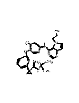 CC(C)(C)NC(=O)C1(c2cccc(Oc3ccc(Nc4ncnc5ccn(CCO)c45)cc3Cl)c2)CC1